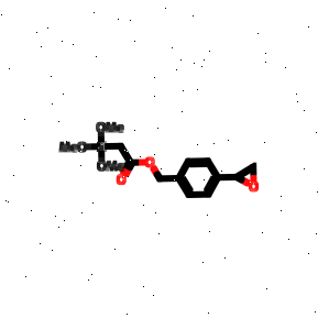 CO[Si](CC(=O)OCc1ccc(C2CO2)cc1)(OC)OC